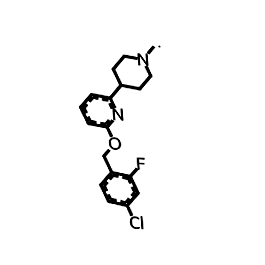 [CH2]N1CCC(c2cccc(OCc3ccc(Cl)cc3F)n2)CC1